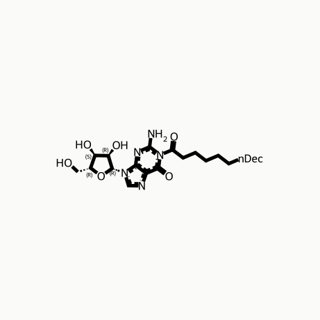 CCCCCCCCCCCCCCCC(=O)n1c(N)nc2c(ncn2[C@@H]2O[C@H](CO)[C@@H](O)[C@H]2O)c1=O